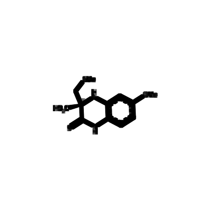 COc1ccc2c(c1)N[C@](CSC)(C(=O)O)C(=S)N2